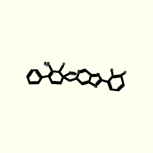 COC1(Cn2cc3nc(-c4cccc(F)c4F)nc-3cn2)C=CC(c2ccccc2)=C(C(F)(F)F)C1F